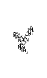 CN1CCN(CCn2ncc3c(-c4cnc(N)nc4)nc(N4CCOCC4)nc32)CC1